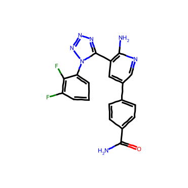 NC(=O)c1ccc(-c2cnc(N)c(-c3nnnn3-c3cccc(F)c3F)c2)cc1